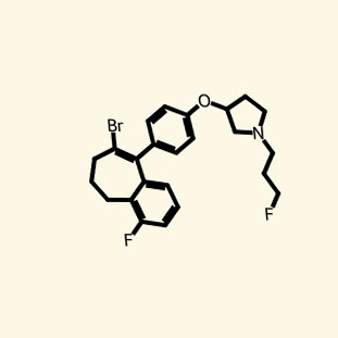 FCCCN1CCC(Oc2ccc(C3=C(Br)CCCc4c(F)cccc43)cc2)C1